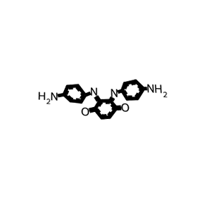 Nc1ccc(N=c2c(=O)ccc(=O)c2=Nc2ccc(N)cc2)cc1